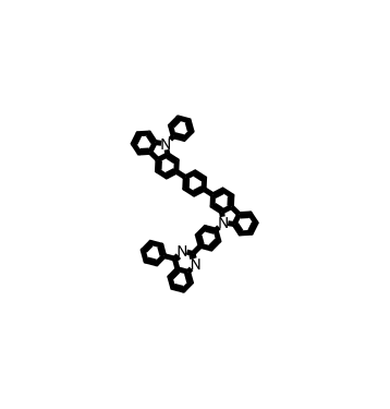 c1ccc(-c2nc(-c3ccc(-n4c5ccccc5c5ccc(-c6ccc(-c7ccc8c9ccccc9n(-c9ccccc9)c8c7)cc6)cc54)cc3)nc3ccccc23)cc1